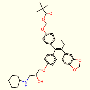 CC/C(=C(\c1ccc(OCOC(=O)C(C)(C)C)cc1)c1ccc(OCC(O)CNC2CCCCC2)cc1)c1ccc2c(c1)OCO2